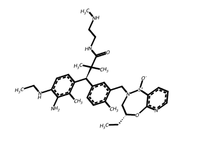 CCNc1ccc([C@H](c2ccc(C)c(CN3C[C@@H](CC)Oc4ncccc4[S+]3[O-])c2)C(C)(C)C(=O)NCCNC)c(C)c1N